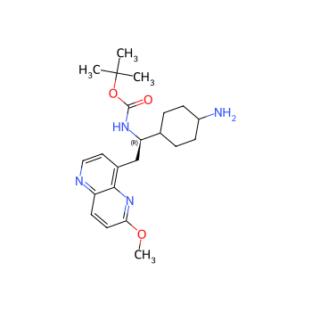 COc1ccc2nccc(C[C@@H](NC(=O)OC(C)(C)C)C3CCC(N)CC3)c2n1